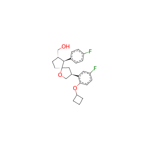 OC[C@H]1CC[C@@]2(C[C@@H](c3cc(F)ccc3OC3CCC3)CO2)[C@@H]1c1ccc(F)cc1